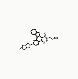 CN1CC2CN(c3ncc4c(=O)c(C(=O)NCCN)c5sc6ccccc6n5c4n3)CC2C1